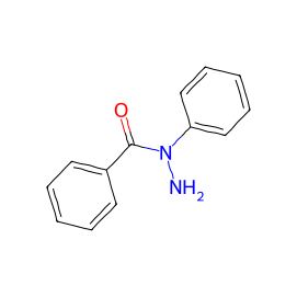 NN(C(=O)c1ccccc1)c1ccccc1